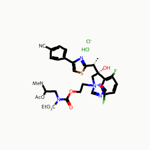 CCOC(=O)N(CC(NC)OC(C)=O)C(=O)OCC[N+]1(C[C@](O)(c2cc(F)ccc2F)[C@@H](C)c2nc(-c3ccc(C#N)cc3)cs2)C=NC=N1.Cl.[Cl-]